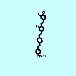 CCCCCc1ccc(CCC2CCC(CCc3ccc(CCc4ccc(Cl)c(F)c4)c(F)c3)CC2)cc1